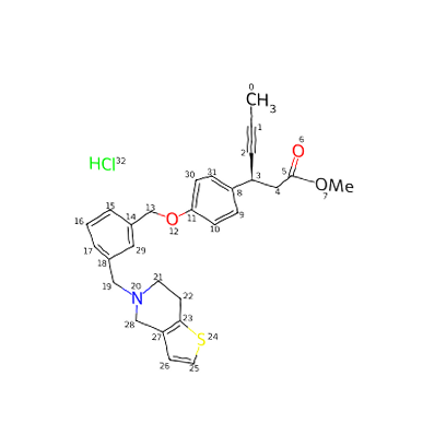 CC#C[C@@H](CC(=O)OC)c1ccc(OCc2cccc(CN3CCc4sccc4C3)c2)cc1.Cl